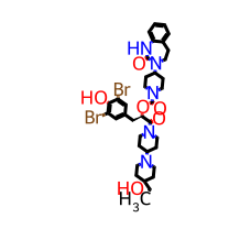 CCC1(O)CCN(C2CCN(C(=O)[C@@H](Cc3cc(Br)c(O)c(Br)c3)OC(=O)N3CCC(N4CCc5ccccc5NC4=O)CC3)CC2)CC1